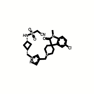 CN1C(=O)C2(CCN(Cc3cnn(C[C@H]4C[C@@H](NS(=O)(=O)CC#N)C4)c3)CC2)c2cc(Cl)ccc21